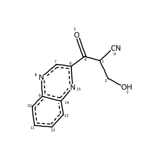 N#CC(CO)C(=O)c1cnc2ccccc2n1